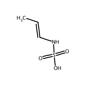 CC=CNS(=O)(=O)O